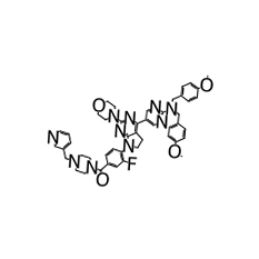 COc1ccc(CN(Cc2ccc(OC)cc2)c2ncc(-c3nc(N4CCOCC4)nc4c3CCN4c3ccc(C(=O)N4CCN(Cc5cccnc5)CC4)cc3F)cn2)cc1